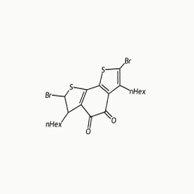 CCCCCCc1c(Br)sc2c1C(=O)C(=O)C1=C2SC(Br)C1CCCCCC